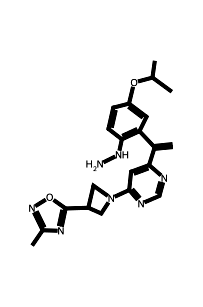 C=C(c1cc(N2CC(c3nc(C)no3)C2)ncn1)c1cc(OC(C)C)ccc1NN